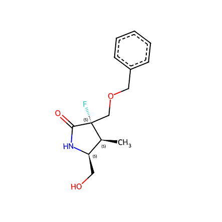 C[C@H]1[C@@H](CO)NC(=O)[C@@]1(F)COCc1ccccc1